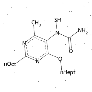 CCCCCCCCc1nc(C)c(N(S)C(N)=O)c(OCCCCCCC)n1